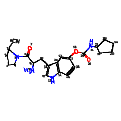 N#CC1CCCN1C(=O)C(N)Cc1c[nH]c2ccc(OC(=O)NC3CCCC3)cc12